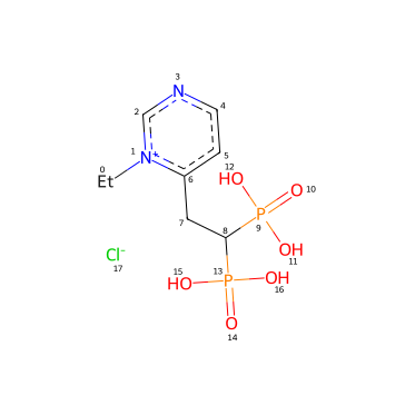 CC[n+]1cnccc1CC(P(=O)(O)O)P(=O)(O)O.[Cl-]